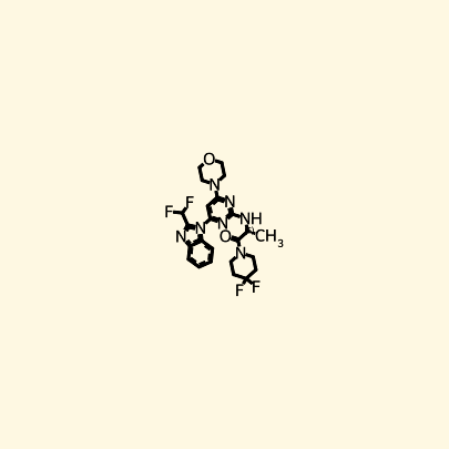 C[C@H](Nc1nc(N2CCOCC2)cc(-n2c(C(F)F)nc3ccccc32)n1)C(=O)N1CCC(F)(F)CC1